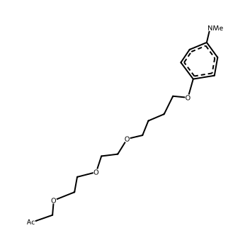 CNc1ccc(OCCCCOCCOCCOCC(C)=O)cc1